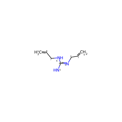 C=CCN=C([NH])NCC=C